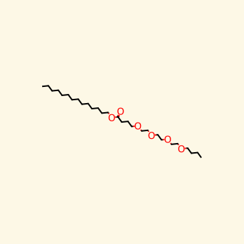 CCCCCCCCCCCCCCOC(=O)CCCOCCOCCOCCOCCCC